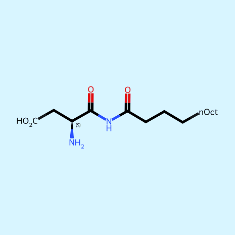 CCCCCCCCCCCC(=O)NC(=O)[C@@H](N)CC(=O)O